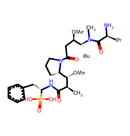 CC[C@H](C)[C@@H]([C@@H](CC(=O)N1CCC[C@H]1[C@H](OC)[C@@H](C)C(=O)N[C@@H](Cc1ccccc1)P(=O)(O)O)OC)N(C)C(=O)[C@@H](N)C(C)C